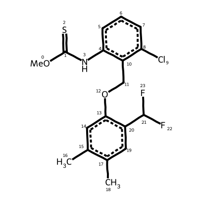 COC(=S)Nc1cccc(Cl)c1COc1cc(C)c(C)cc1C(F)F